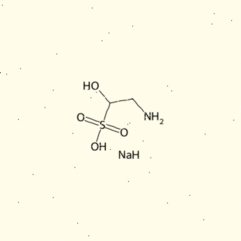 NCC(O)S(=O)(=O)O.[NaH]